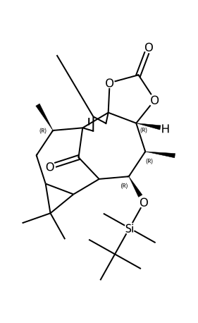 CC1=CC23C(=O)C(C4C(C[C@H]2C)C4(C)C)[C@H](O[Si](C)(C)C(C)(C)C)[C@H](C)[C@H]2OC(=O)OC23C1